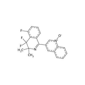 CC1(C)N=C(c2cc3ccccc3[n+]([O-])c2)c2cccc(F)c2C1(F)F